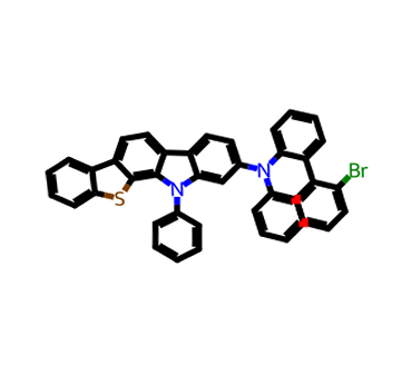 Brc1ccccc1-c1ccccc1N(c1ccccc1)c1ccc2c3ccc4c5ccccc5sc4c3n(-c3ccccc3)c2c1